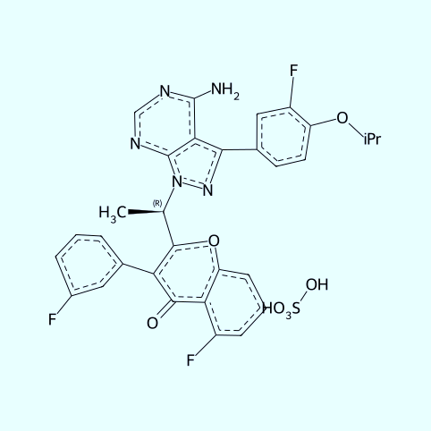 CC(C)Oc1ccc(-c2nn([C@H](C)c3oc4cccc(F)c4c(=O)c3-c3cccc(F)c3)c3ncnc(N)c23)cc1F.O=S(=O)(O)O